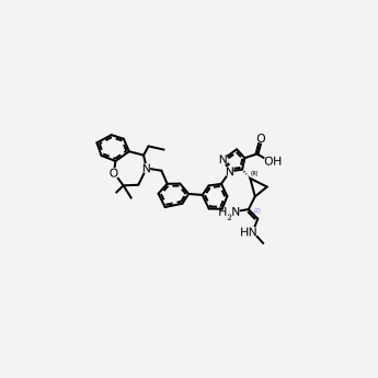 CCC1c2ccccc2OC(C)(C)CN1Cc1cccc(-c2cccc(-n3ncc(C(=O)O)c3[C@@H]3CC3/C(N)=C/NC)c2)c1